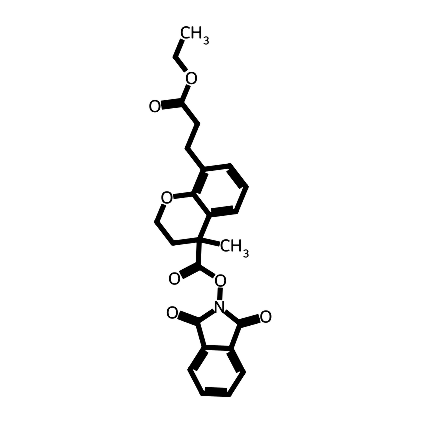 CCOC(=O)CCc1cccc2c1OCCC2(C)C(=O)ON1C(=O)c2ccccc2C1=O